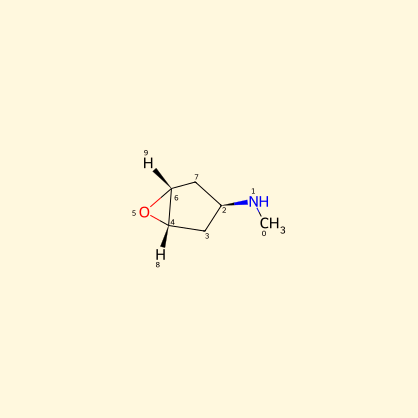 CN[C@H]1C[C@@H]2O[C@@H]2C1